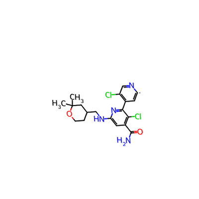 CC1(C)CC(CNc2cc(C(N)=O)c(Cl)c(-c3c[c]ncc3Cl)n2)CCO1